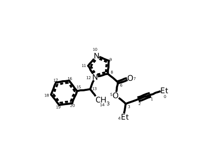 CCC#CC(CC)OC(=O)c1cncn1C(C)c1ccccc1